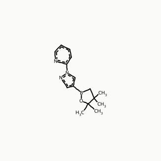 CC1(C)CB(c2cnn(-c3ccccn3)c2)OC1(C)C